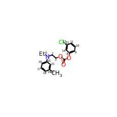 CCN(CCOC(=O)Oc1cccc(Cl)c1)c1cccc(C)c1